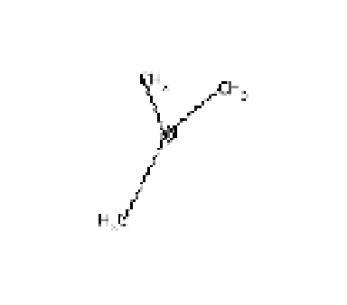 CCCCCCCCCCCCCCCCCCCN1C=CN(CCCCCCCCCCCCCC)C1CCCCCCCCCCCC